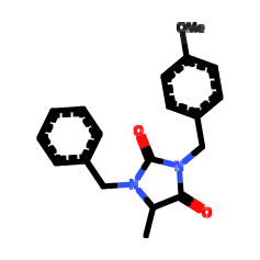 COc1ccc(CN2C(=O)C(C)N(Cc3ccccc3)C2=O)cc1